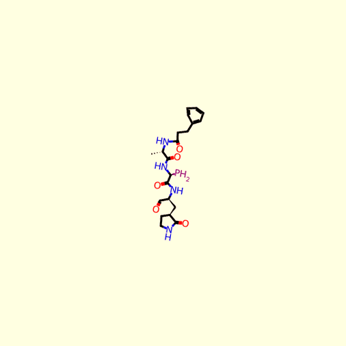 C[C@H](NC(=O)CCc1ccccc1)C(=O)N[C@@H](P)C(=O)N[C@H](C=O)C[C@@H]1CCNC1=O